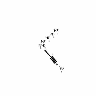 B.CC#N.F.F.F.F.[Pd]